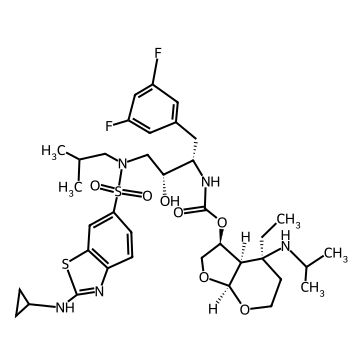 CC[C@]1(NC(C)C)CCO[C@H]2OC[C@@H](OC(=O)N[C@@H](Cc3cc(F)cc(F)c3)[C@H](O)CN(CC(C)C)S(=O)(=O)c3ccc4nc(NC5CC5)sc4c3)[C@H]21